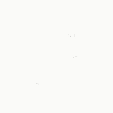 NC1=c2c(N)cc(Br)cc2=CCC1